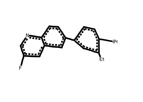 CCc1cc(-c2ccc3ncc(F)cc3c2)ccc1C(C)C